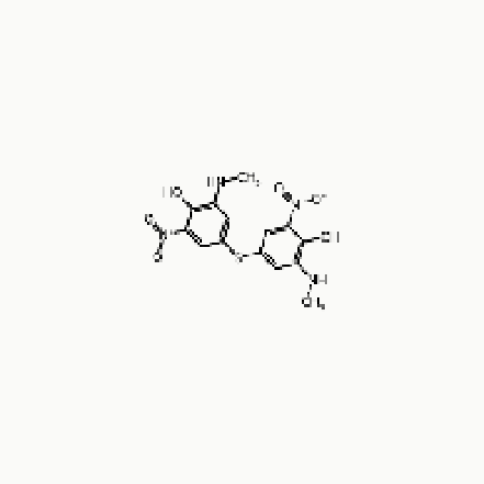 CNc1cc(Sc2cc(NC)c(O)c([N+](=O)[O-])c2)cc([N+](=O)[O-])c1O